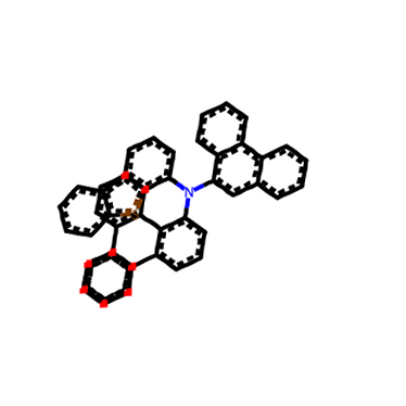 c1ccc(-c2ccccc2-c2c(-c3ccccc3)cccc2N(c2cc3ccccc3c3ccccc23)c2cccc3c2sc2ccccc23)cc1